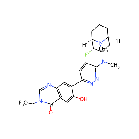 CN(c1ccc(-c2cc3ncn(CC(F)(F)F)c(=O)c3cc2O)nn1)[C@H]1C[C@@H]2CCC[C@H]([C@H]1F)N2C